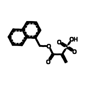 C=C(C(=O)OCc1cccc2ccccc12)S(=O)(=O)O